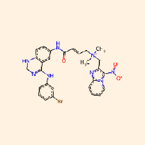 C[N+](C)(C/C=C/C(=O)Nc1ccc2c(c1)C(Nc1cccc(Br)c1)=NCN2)Cc1nc2ccccn2c1[N+](=O)[O-]